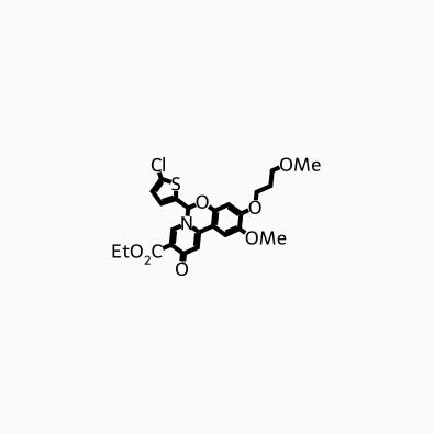 CCOC(=O)c1cn2c(cc1=O)-c1cc(OC)c(OCCCOC)cc1OC2c1ccc(Cl)s1